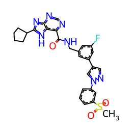 CS(=O)(=O)c1cccc(-n2cc(-c3cc(F)cc(CNC(=O)c4ncnc5nc(C6CCCC6)[nH]c45)c3)cn2)c1